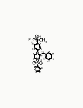 CC(O)(c1ccc(N2CCN(S(=O)(=O)c3cccs3)C[C@@H]2Cc2ccccc2)cc1)C(F)(F)F